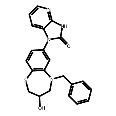 O=c1[nH]c2ncccc2n1-c1ccc2c(c1)N(Cc1ccccc1)CC(O)CS2